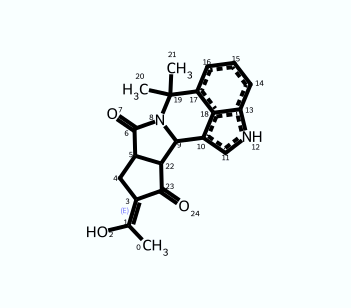 C/C(O)=C1/CC2C(=O)N3C(c4c[nH]c5cccc(c45)C3(C)C)C2C1=O